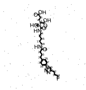 O=C(O)CC[C@@H](C(=O)O)N(O)C(=O)NCCCCCNC(=O)CCCc1ccc(-n2cc(CCCF)nn2)cc1